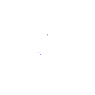 OC(Cc1ccccc1Br)(c1ccccc1)[C@@H]1CN(Cc2ccccc2)CCO1